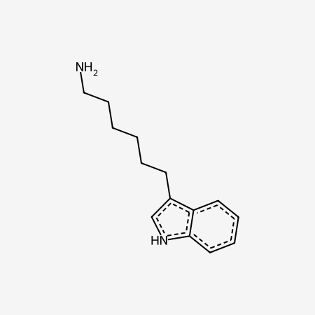 NCCCCCCc1c[nH]c2ccccc12